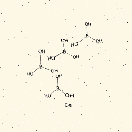 OB(O)O.OB(O)O.OB(O)O.OB(O)O.[Ce]